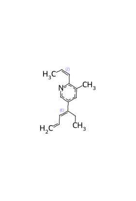 C=C/C=C(\CC)c1cnc(/C=C\C)c(C)c1